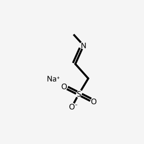 CN=CCS(=O)(=O)[O-].[Na+]